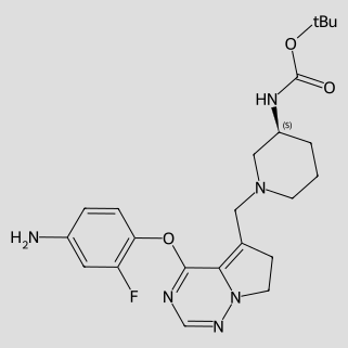 CC(C)(C)OC(=O)N[C@H]1CCCN(CC2=C3C(Oc4ccc(N)cc4F)=NC=NN3CC2)C1